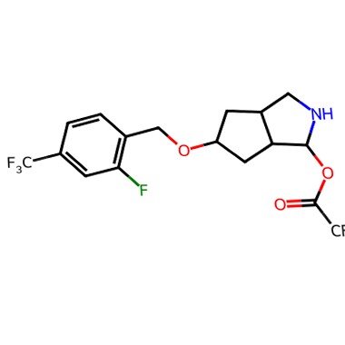 O=C(OC1NCC2CC(OCc3ccc(C(F)(F)F)cc3F)CC21)C(F)(F)F